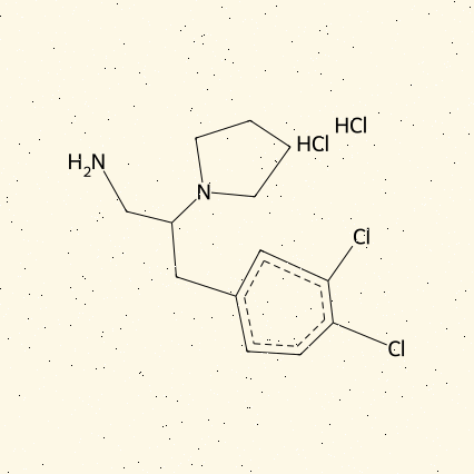 Cl.Cl.NCC(Cc1ccc(Cl)c(Cl)c1)N1CCCC1